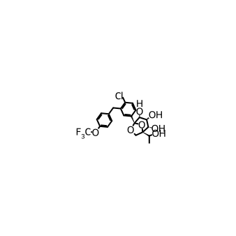 CC(O)[C@@]12CO[C@@](c3ccc(Cl)c(Cc4ccc(OC(F)(F)F)cc4)c3)(O1)[C@H](O)[C@@H](O)[C@@H]2O